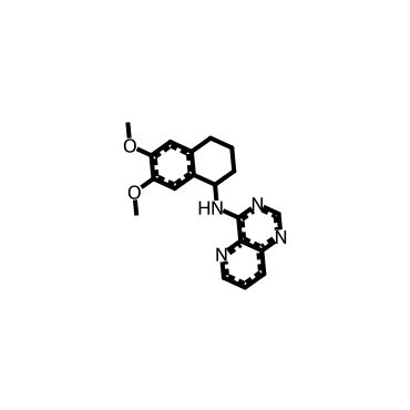 COc1cc2c(cc1OC)C(Nc1ncnc3cccnc13)CCC2